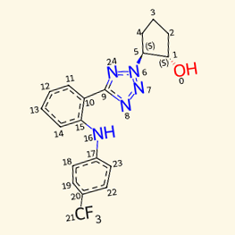 O[C@H]1CCC[C@@H]1n1nnc(-c2ccccc2Nc2ccc(C(F)(F)F)cc2)n1